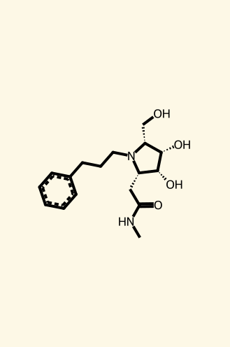 CNC(=O)C[C@H]1[C@@H](O)[C@@H](O)[C@@H](CO)N1CCCc1ccccc1